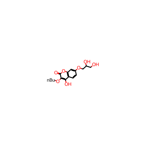 CCCCOc1c(O)c2ccc(OCC(O)CO)cc2oc1=O